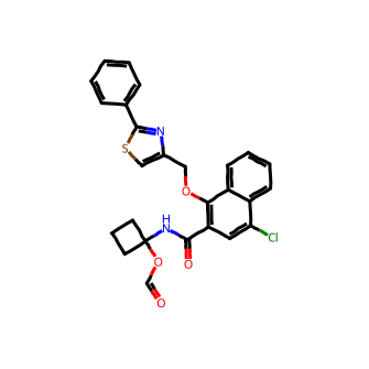 O=COC1(NC(=O)c2cc(Cl)c3ccccc3c2OCc2csc(-c3ccccc3)n2)CCC1